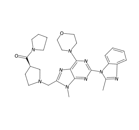 Cc1nc2ccccc2n1-c1nc(N2CCOCC2)c2nc(CN3CC[C@@H](C(=O)N4CCCC4)C3)n(C)c2n1